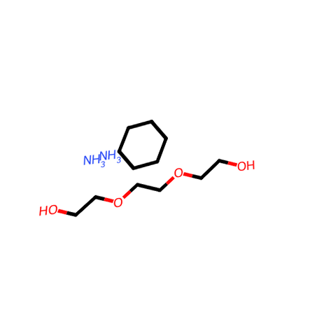 C1CCCCC1.N.N.OCCOCCOCCO